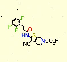 N#Cc1c(NC(=O)C=Cc2c(F)ccc(F)c2F)sc2c1CCN(C(=O)O)C2